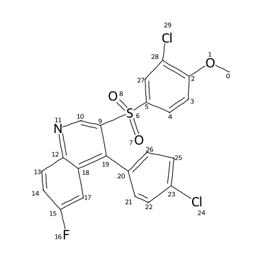 COc1ccc(S(=O)(=O)c2cnc3ccc(F)cc3c2-c2ccc(Cl)cc2)cc1Cl